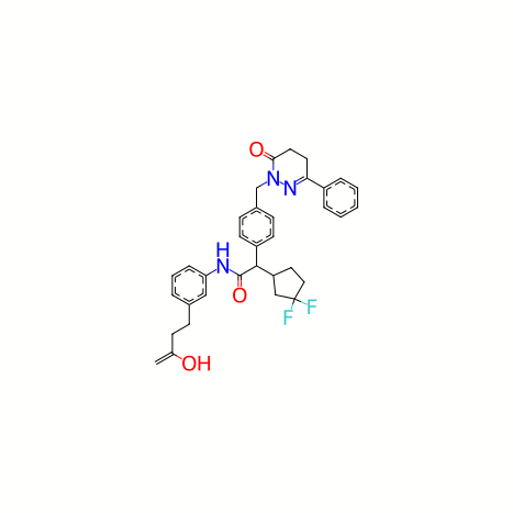 C=C(O)CCc1cccc(NC(=O)C(c2ccc(CN3N=C(c4ccccc4)CCC3=O)cc2)C2CCC(F)(F)C2)c1